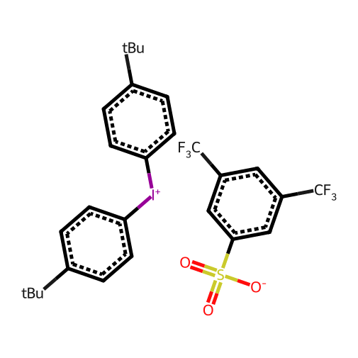 CC(C)(C)c1ccc([I+]c2ccc(C(C)(C)C)cc2)cc1.O=S(=O)([O-])c1cc(C(F)(F)F)cc(C(F)(F)F)c1